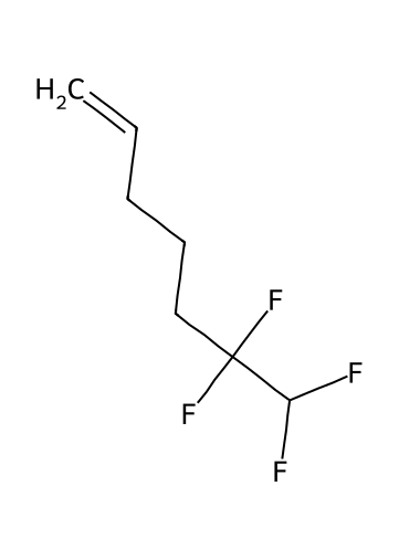 C=CCCCC(F)(F)C(F)F